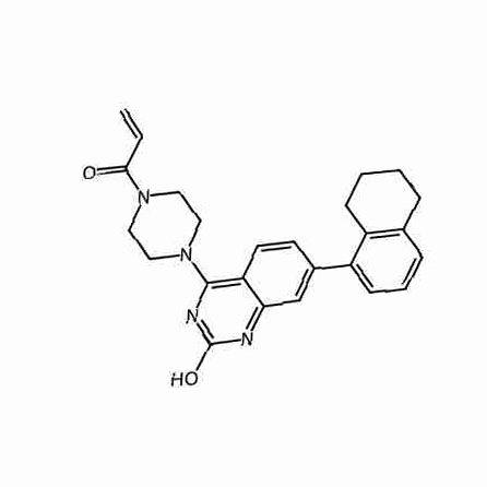 C=CC(=O)N1CCN(c2nc(O)nc3cc(-c4cccc5c4CCCC5)ccc23)CC1